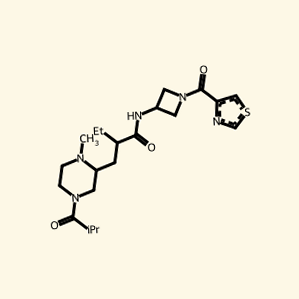 CCC(CC1CN(C(=O)C(C)C)CCN1C)C(=O)NC1CN(C(=O)c2cscn2)C1